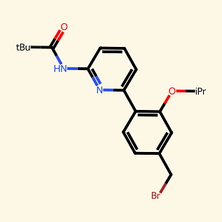 CC(C)Oc1cc(CBr)ccc1-c1cccc(NC(=O)C(C)(C)C)n1